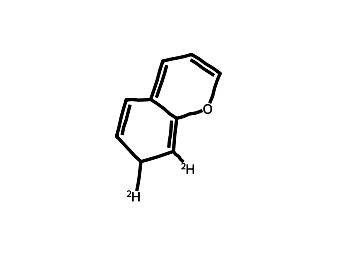 [2H]C1=C2OC=CC=C2C=CC1[2H]